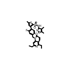 CCc1cc2c(ccc(=O)n2Cc2ccc(-c3cc(C)sc3S(=O)(=O)Nc3noc(C)c3C)c(F)c2)c(CC)n1